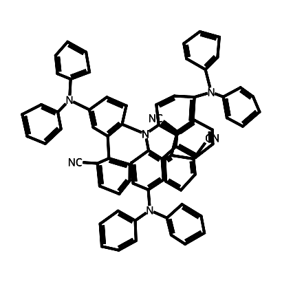 N#Cc1ccccc1-c1cc(N(c2ccccc2)c2ccccc2)ccc1N(c1ccc(N(c2ccccc2)c2ccccc2)cc1-c1ccccc1C#N)c1ccc(N(c2ccccc2)c2ccccc2)cc1-c1ccccc1C#N